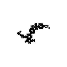 Cc1n[nH]c2nc(-c3ccc(NS(=O)(=O)c4ccc(C(F)(F)F)cn4)cc3)nc(NCCN(C)C)c12